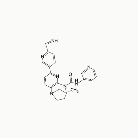 C[C@]12CCN(C1)c1ccc(-c3ccc(C=N)nc3)nc1N2C(=O)Nc1cccnc1